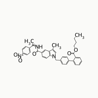 CCCCOC(=O)c1ccccc1-c1ccc(Cn2cc(C)c3cc(C(=O)N[C@@H](C)c4ccc([N+](=O)[O-])cc4)ccc32)cc1